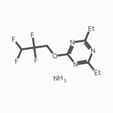 CCc1nc(CC)nc(OCC(F)(F)C(F)F)n1.N